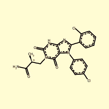 C[C@@H](Cn1c(=O)[nH]c2nc(-c3ccccc3Cl)n(-c3ccc(Cl)cc3)c2c1=O)C(N)=O